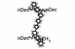 CCCCCCCCCCCCn1c2ccc(-c3ccc(-c4ccc(-c5ccc6c(c5)c5cc7c(cc5n6CCCCCCCCCCCC)c5ccccc5n7CCCCCCCCCCCC)cc4)cc3)cc2c2cc3c(cc21)c1ccccc1n3C